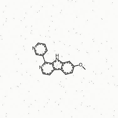 COc1ccc2c(c1)[nH]c1c(-c3cccnc3)nccc12